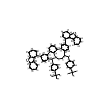 CC(C)(C)c1ccc(CC2CCB3c4c(cccc4-c4cc(-c5cccc6oc7ccccc7c56)ccc4C3c3ccc(C(C)(C)C)cc3)-c3cc(-c4cccc5oc6ccccc6c45)ccc32)cc1